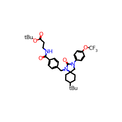 CC(C)(C)OC(=O)CCNC(=O)c1ccc(CN2C(=O)N(c3ccc(OC(F)(F)F)cc3)CC23CCC(C(C)(C)C)CC3)cc1